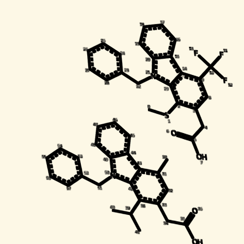 CSc1c(CC(=O)O)cc(C(F)(F)F)c2c3ccccc3n(Cc3ccccc3)c12.Cc1cc(CC(=O)O)c(C(C)C)c2c1c1ccccc1n2Cc1ccccc1